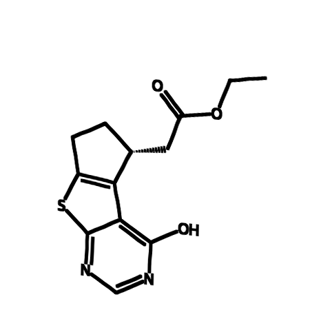 CCOC(=O)C[C@H]1CCc2sc3ncnc(O)c3c21